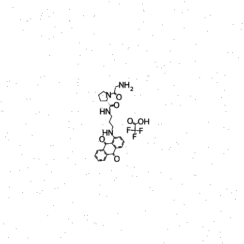 NCC(=O)N1CCC[C@H]1C(=O)NCCCNc1cccc2c1C(=O)c1ccccc1C2=O.O=C(O)C(F)(F)F